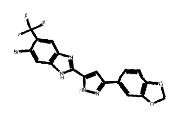 FC(F)(F)c1cc2nc(-c3cc(-c4ccc5c(c4)OCO5)n[nH]3)[nH]c2cc1Br